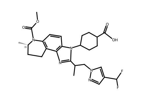 COC(=O)N1c2ccc3c(nc(C(C)Cn4cc(C(F)F)cn4)n3C3CCC(C(=O)O)CC3)c2CC[C@@H]1C